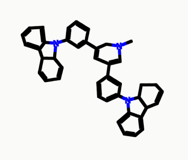 CN1C=C(c2cccc(N3c4ccccc4C4C=CCCC43)c2)C=C(c2cccc(N3c4ccccc4C4C=CC=CC43)c2)C1